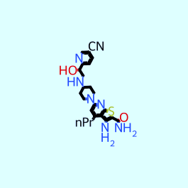 CCCc1cc(N2CCC(NCC(O)c3ccc(C#N)cn3)CC2)nc2sc(C(N)=O)c(N)c12